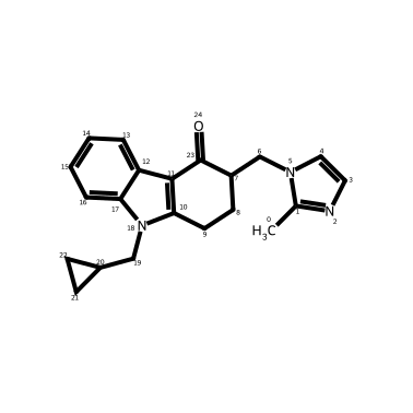 Cc1nccn1CC1CCc2c(c3ccccc3n2CC2CC2)C1=O